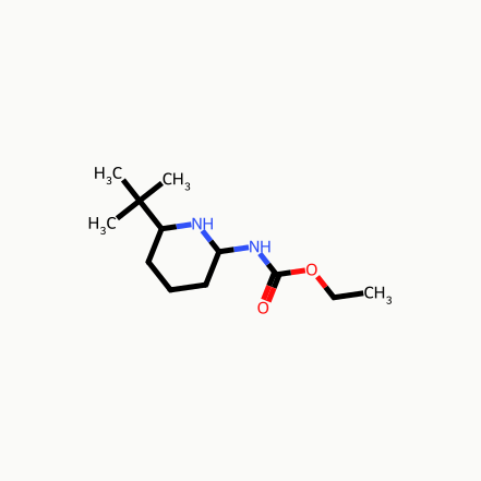 CCOC(=O)NC1CCCC(C(C)(C)C)N1